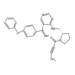 CC#CC(=O)N1CCC[C@H]1CNc1ncncc1C(=N)c1ccc(Oc2ccccc2)cc1